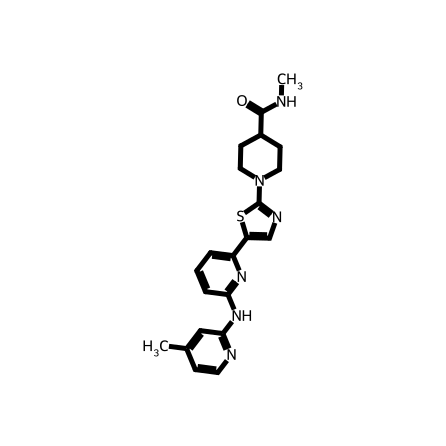 CNC(=O)C1CCN(c2ncc(-c3cccc(Nc4cc(C)ccn4)n3)s2)CC1